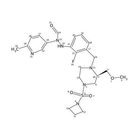 COC[C@H]1CN(S(=O)(=O)N2CCC2)CCN1Cc1cccc(NN(C=O)c2ccc(C)nc2)c1F